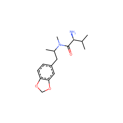 CC(C)[C@H](N)C(=O)N(C)C(C)Cc1ccc2c(c1)OCO2